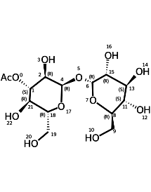 CC(=O)O[C@@H]1[C@@H](O)[C@@H](O[C@H]2O[C@H](CO)[C@@H](O)[C@H](O)[C@H]2O)O[C@H](CO)[C@H]1O